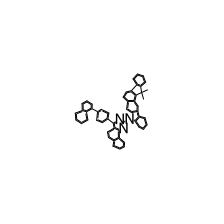 CC1(C)c2ccccc2-c2ccc3cc4c(cc3c21)c1ccccc1n4-c1nc(-c2ccc(-c3cccc4ccccc34)cc2)c2ccc3ccccc3c2n1